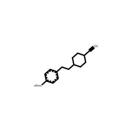 C#CC1CCC(CCc2ccc(CCCCC)cc2)CC1